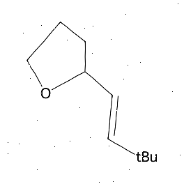 CC(C)(C)/C=C/C1CCCO1